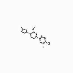 COc1cc(-c2cc(C)c(Cl)nn2)ccc1-n1cnc(C)c1